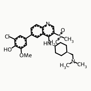 C=S(C)(=O)c1cnc2ccc(-c3cc(Cl)c(O)c(OC)c3)cc2c1N[C@H]1CC[C@H](CN(C)C)CC1